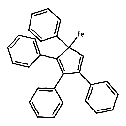 [Fe][C]1(c2ccccc2)C=C(c2ccccc2)C(c2ccccc2)=C1c1ccccc1